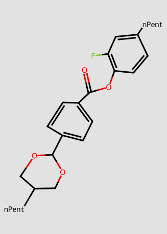 CCCCCc1ccc(OC(=O)c2ccc(C3OCC(CCCCC)CO3)cc2)c(F)c1